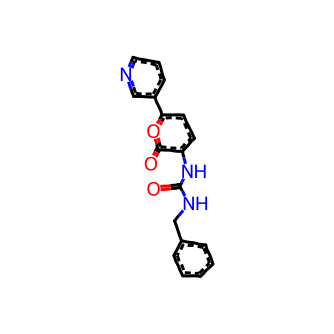 O=C(NCc1ccccc1)Nc1ccc(-c2cccnc2)oc1=O